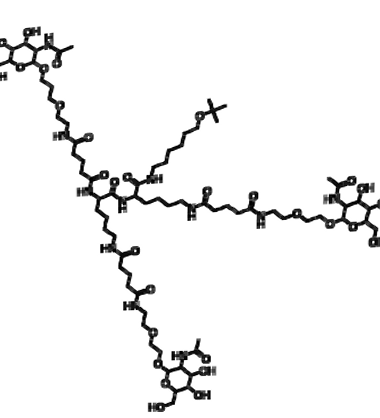 CC(=O)NC1C(OCCCOCCNC(=O)CCCC(=O)NC(CCCCNC(=O)CCCC(=O)NCCOCCOC2OC(CO)C(O)C(O)C2NC(C)=O)C(=O)NC(CCCCNC(=O)CCCC(=O)NCCOCCOC2OC(CO)C(O)C(O)C2NC(C)=O)C(=O)NCCCCCCOC(C)(C)C)OC(CO)C(O)C1O